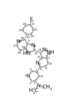 CN(C)c1cncc(-c2ccc3[nH]nc(-c4nc5c(-c6ccc(F)cc6)nccc5[nH]4)c3n2)c1